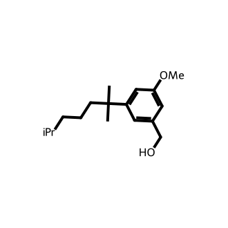 COc1cc(CO)cc(C(C)(C)CCCC(C)C)c1